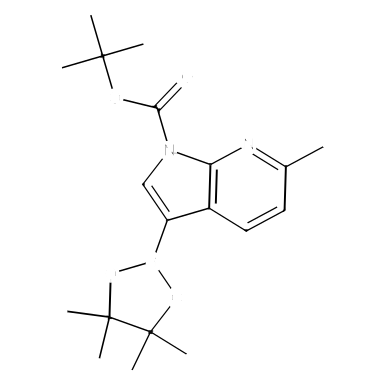 Cc1ccc2c(B3OC(C)(C)C(C)(C)O3)cn(C(=O)OC(C)(C)C)c2n1